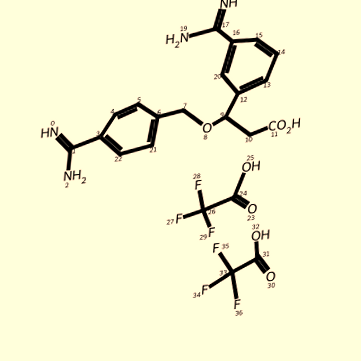 N=C(N)c1ccc(COC(CC(=O)O)c2cccc(C(=N)N)c2)cc1.O=C(O)C(F)(F)F.O=C(O)C(F)(F)F